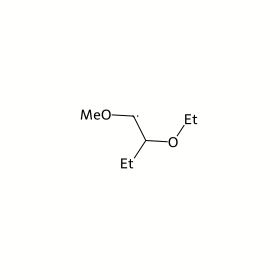 CCOC([CH]OC)CC